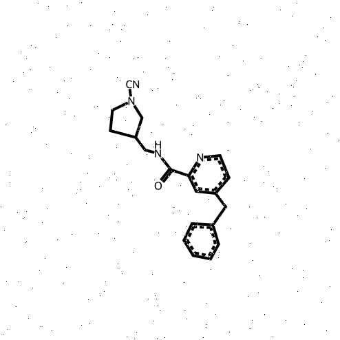 N#CN1CCC(CNC(=O)c2cc(Cc3ccccc3)ccn2)C1